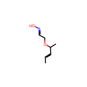 CC=CC(C)OCC=NO